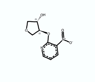 O=[N+]([O-])c1cccnc1O[C@H]1COC[C@@H]1O